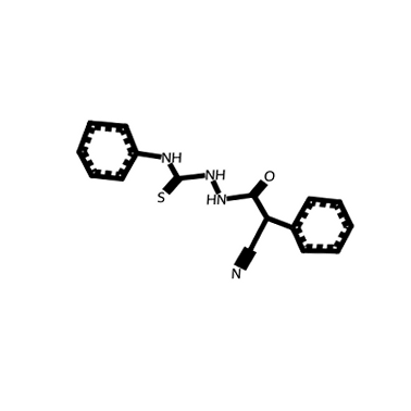 N#CC(C(=O)NNC(=S)Nc1ccccc1)c1ccccc1